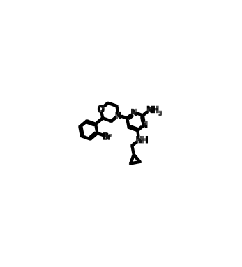 Nc1nc(NCC2CC2)cc(N2CCOC(c3ccccc3Br)C2)n1